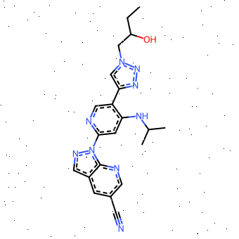 CCC(O)Cn1cc(-c2cnc(-n3ncc4cc(C#N)cnc43)cc2NC(C)C)nn1